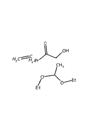 C=C.CC(C)C(=O)CO.CCOC(C)OCC